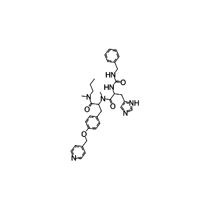 CCCN(C)C(=O)C(Cc1ccc(OCc2ccncc2)cc1)N(C)C(=O)C(Cc1cnc[nH]1)NC(=O)NCc1ccccc1